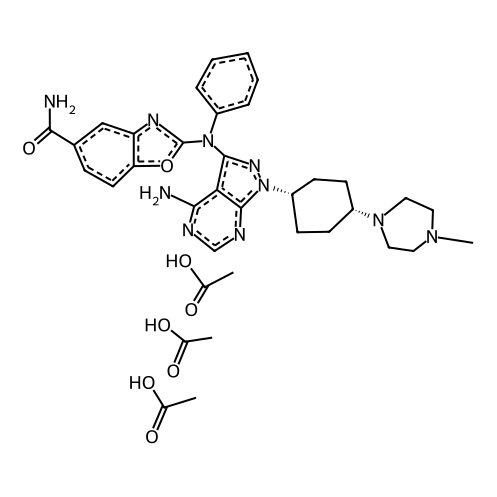 CC(=O)O.CC(=O)O.CC(=O)O.CN1CCN([C@H]2CC[C@@H](n3nc(N(c4ccccc4)c4nc5cc(C(N)=O)ccc5o4)c4c(N)ncnc43)CC2)CC1